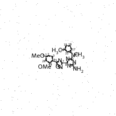 COc1ccc(-c2nc(-c3nc(N)nc(N(C)c4cccc(C)c4)n3)no2)c(OC)c1